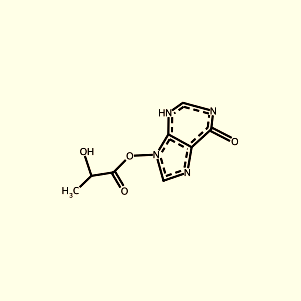 CC(O)C(=O)On1cnc2c(=O)nc[nH]c21